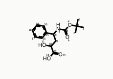 CC(C)(C)OC(=O)NC(CC(O)C(=O)O)c1ccccc1